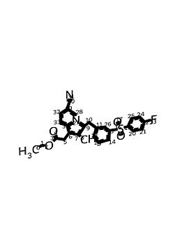 CCOC(=O)Cc1c(C)c(Cc2cccc(S(=O)(=O)c3ccc(F)cc3)c2)n2cc(C#N)ccc12